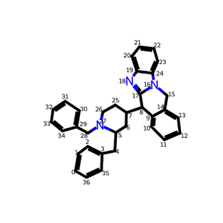 c1ccc(CC2CC(C3c4ccccc4Cn4c3nc3ccccc34)CCN2Cc2ccccc2)cc1